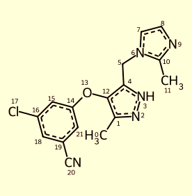 Cc1n[nH]c(Cn2ccnc2C)c1Oc1cc(Cl)cc(C#N)c1